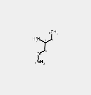 CCC(N)CO[SiH3]